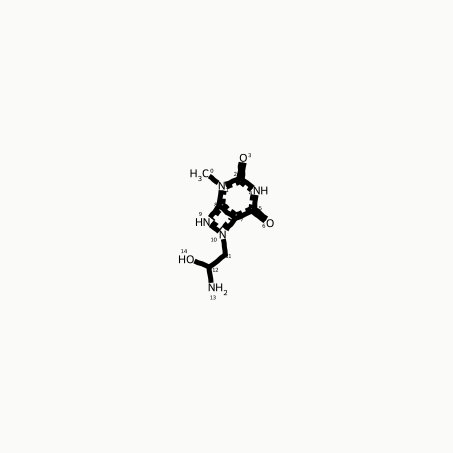 Cn1c(=O)[nH]c(=O)c2c1[nH]n2CC(N)O